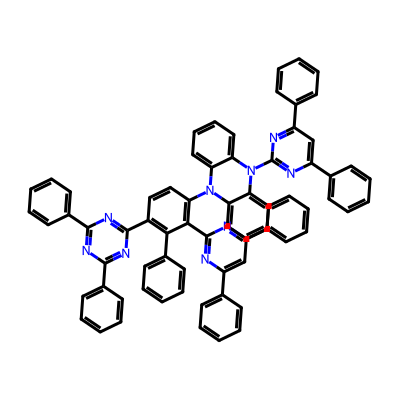 c1ccc(-c2cc(-c3ccccc3)nc(-c3c(N4c5ccccc5N(c5nc(-c6ccccc6)cc(-c6ccccc6)n5)c5ccccc54)ccc(-c4nc(-c5ccccc5)nc(-c5ccccc5)n4)c3-c3ccccc3)n2)cc1